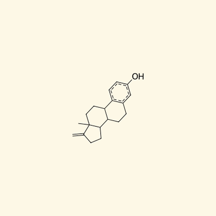 C=C1CCC2C3CCc4cc(O)ccc4C3CCC12C